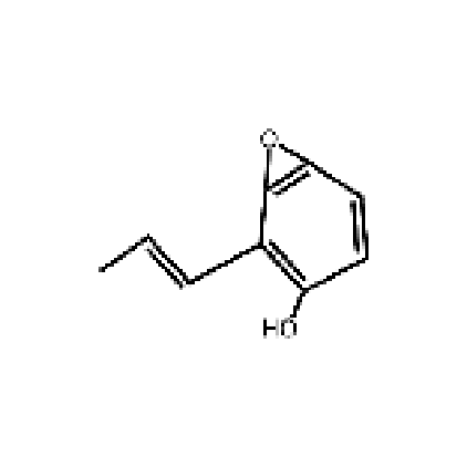 CC=Cc1c(O)ccc2c1O2